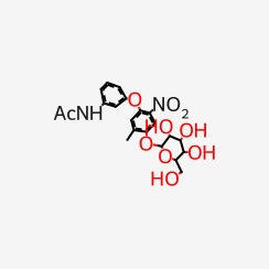 CC(=O)Nc1cccc(Oc2cc(C)c(OC3OC(CO)C(O)C(O)C3O)cc2[N+](=O)[O-])c1